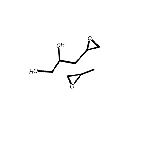 CC1CO1.OCC(O)CC1CO1